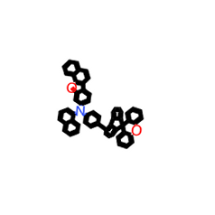 c1ccc2c(c1)Oc1ccccc1C21c2ccccc2-c2c(-c3ccc(N(c4ccc5c(c4)oc4c6ccccc6ccc54)c4cccc5ccccc45)cc3)cccc21